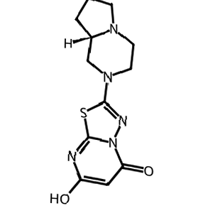 O=c1cc(O)nc2sc(N3CCN4CCC[C@H]4C3)nn12